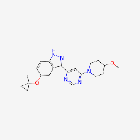 COC1CCN(c2cc(-c3n[nH]c4ccc(OC5(C)CC5)cc34)ncn2)CC1